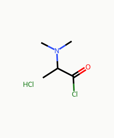 CC(C(=O)Cl)N(C)C.Cl